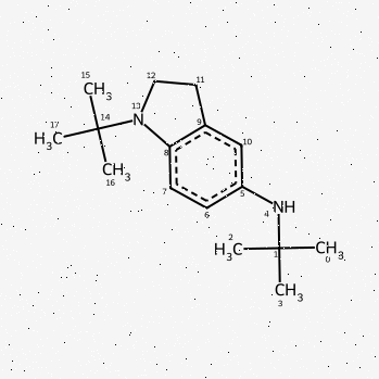 CC(C)(C)Nc1ccc2c(c1)CCN2C(C)(C)C